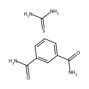 NC(=O)c1cccc(C(N)=O)c1.NC(N)=S